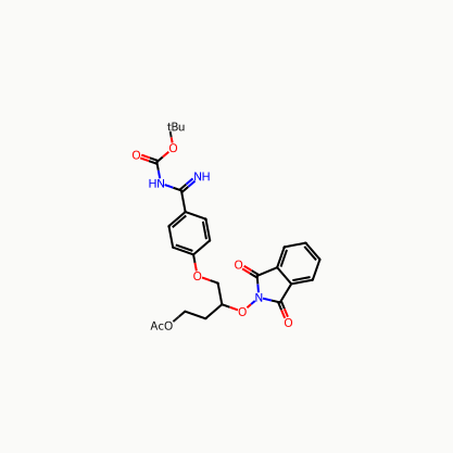 CC(=O)OCCC(COc1ccc(C(=N)NC(=O)OC(C)(C)C)cc1)ON1C(=O)c2ccccc2C1=O